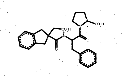 O=C(O)CC1(C(=O)NC(Cc2ccccc2)C(=O)N2CCCC2C(=O)O)Cc2ccccc2C1